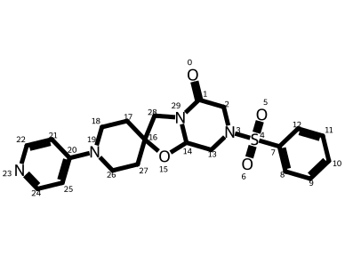 O=C1CN(S(=O)(=O)c2ccccc2)CC2OC3(CCN(c4ccncc4)CC3)CN12